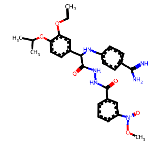 CCOc1cc(C(Nc2ccc(C(=N)N)cc2)C(=O)NNC(=O)c2cccc([N+](=O)OC)c2)ccc1OC(C)C